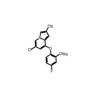 COc1cc(F)ccc1Oc1cc(Cl)cn2cc(C#N)cc12